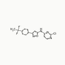 CC(F)(F)c1ccc(-c2cc(Nc3ccnc(Cl)n3)on2)cc1